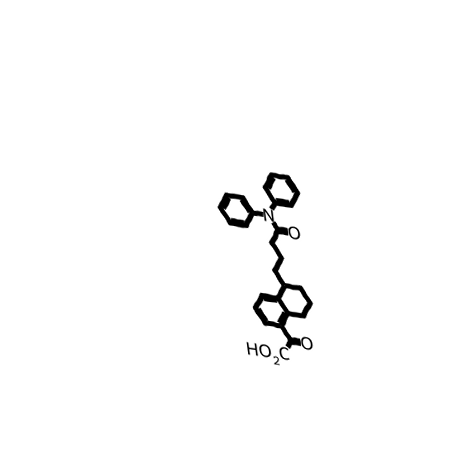 O=C(O)C(=O)c1cccc2c1CCCC2CCCC(=O)N(c1ccccc1)c1ccccc1